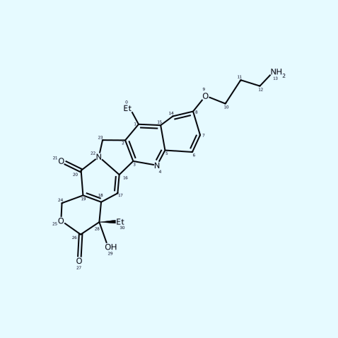 CCc1c2c(nc3ccc(OCCCN)cc13)-c1cc3c(c(=O)n1C2)COC(=O)[C@]3(O)CC